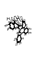 CC1(C)c2ccccc2-c2c1c1ccccc1n2-c1nc2ccccc2n1-c1ccccc1